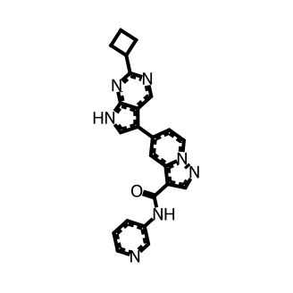 O=C(Nc1cccnc1)c1cnn2ccc(-c3c[nH]c4nc(C5CCC5)ncc34)cc12